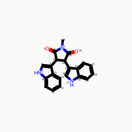 CN1C(=O)C(c2c[nH]c3ccccc23)C(c2c[nH]c3ccccc23)C1=O